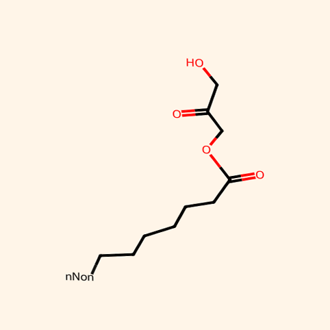 CCCCCCCCCCCCCCCC(=O)OCC(=O)CO